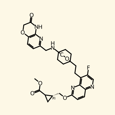 COC(=O)C1C[C@H]1COc1ccc2ncc(F)c(CCC34CCC(NCc5ccc6c(n5)NC(=O)CO6)(CC3)CO4)c2n1